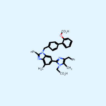 CCCc1nc2c(C)cc(-c3nc(CC(C)C)c(C)n3CC(=O)O)cc2n1Cc1ccc(-c2ccccc2OC(=O)O)cc1